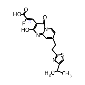 CC(C)c1csc(CCc2ccn3c(=O)c(/C=C(\F)C(=O)O)c(O)nc3c2)n1